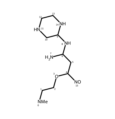 CNCCOC(CC(N)NC1CNCCN1)N=O